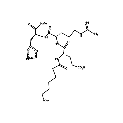 CCCCCCCCCCCCCCCC(=O)N[C@@H](CCC(=O)O)C(=O)N[C@@H](CCCNC(=N)N)C(=O)N[C@@H](Cc1c[nH]cn1)C(=O)NC